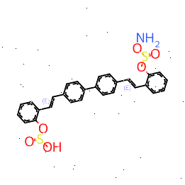 NOS(=O)Oc1ccccc1/C=C/c1ccc(-c2ccc(/C=C/c3ccccc3OS(=O)O)cc2)cc1